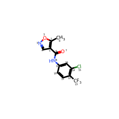 Cc1oncc1C(=O)Nc1ccc(C(F)(F)F)c(Cl)c1